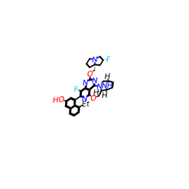 CCc1cccc2cc(O)cc(-c3nc4c5c(nc(OC[C@]67CCCN6C[C@H](F)C7)nc5c3F)N3C[C@@H]5CC[C@@H](N5)[C@H]3CO4)c12